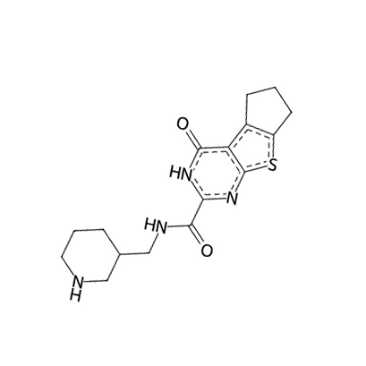 O=C(NCC1CCCNC1)c1nc2sc3c(c2c(=O)[nH]1)CCC3